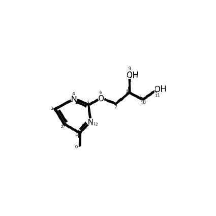 Cc1[c]cnc(OCC(O)CO)n1